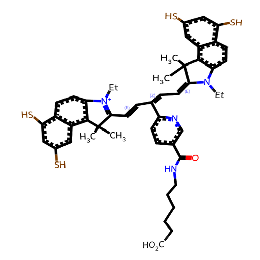 CCN1/C(=C/C=C(/C=C/C2=[N+](CC)c3ccc4c(S)cc(S)cc4c3C2(C)C)c2ccc(C(=O)NCCCCCC(=O)O)cn2)C(C)(C)c2c1ccc1c(S)cc(S)cc21